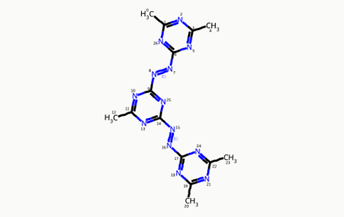 Cc1nc(C)nc(/N=N/c2nc(C)nc(/N=N/c3nc(C)nc(C)n3)n2)n1